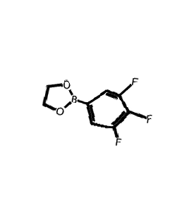 Fc1cc(B2OCCO2)cc(F)c1F